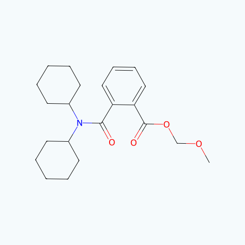 COCOC(=O)c1ccccc1C(=O)N(C1CCCCC1)C1CCCCC1